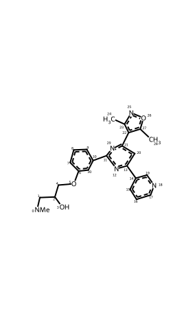 CNCC(O)COc1cccc(-c2nc(-c3cccnc3)cc(-c3c(C)noc3C)n2)c1